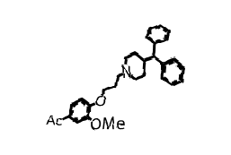 COc1cc(C(C)=O)ccc1OCCCN1CCC(C(c2ccccc2)c2ccccc2)CC1